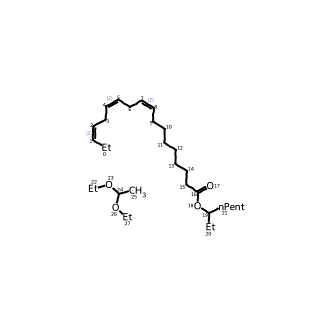 CC/C=C\C/C=C\C/C=C\CCCCCCCC(=O)OC(CC)CCCCC.CCOC(C)OCC